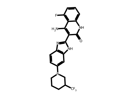 Nc1c(-c2nc3ccc(N4CCCC(C(F)(F)F)C4)cc3[nH]2)c(=O)[nH]c2cccc(F)c12